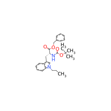 CCCn1cc(C[C@@H](NC(=O)OC(C)(C)C)C(=O)OCc2ccccc2)c2ccccc21